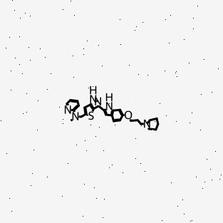 CN(Cc1cc2[nH]nc(-c3cc4ccc(OCCCN5CCCCC5)cc4[nH]3)c2s1)c1ccccn1